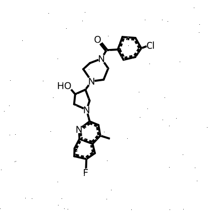 Cc1cc(N2CC(O)C(N3CCN(C(=O)c4ccc(Cl)cc4)CC3)C2)nc2ccc(F)cc12